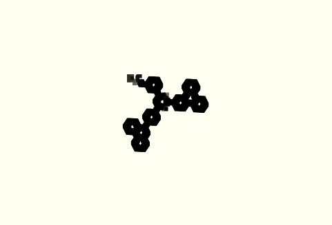 C=Cc1cccc(-c2cc(-c3ccc(-c4cc5ccccc5c5ccccc45)cc3)nc(-c3ccc4c5ccccc5c5ccccc5c4c3)n2)c1